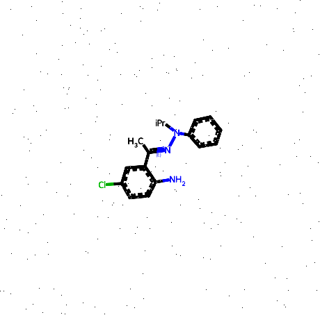 C/C(=N\N(c1ccccc1)C(C)C)c1cc(Cl)ccc1N